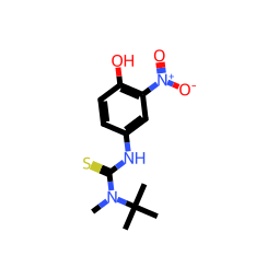 CN(C(=S)Nc1ccc(O)c([N+](=O)[O-])c1)C(C)(C)C